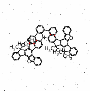 CC1(C)c2ccccc2-c2c1c1c(c3c2oc2ccccc23)-c2ccc(N(c3ccc4c(c3)C(C)(C)c3c5c(c6oc7ccccc7c6c3-4)-c3ccccc3C5(C)C)c3c(-c4ccccc4)cccc3-c3ccccc3)cc2C1(C)C